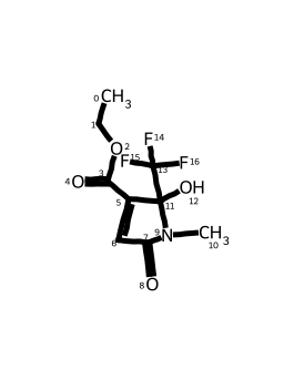 CCOC(=O)C1=CC(=O)N(C)C1(O)C(F)(F)F